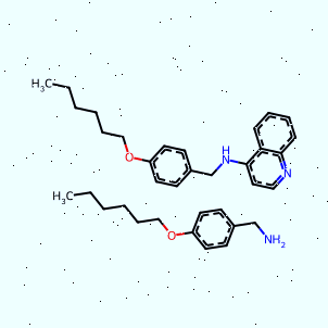 CCCCCCOc1ccc(CN)cc1.CCCCCCOc1ccc(CNc2ccnc3ccccc23)cc1